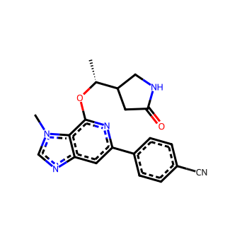 C[C@@H](Oc1nc(-c2ccc(C#N)cc2)cc2ncn(C)c12)C1CNC(=O)C1